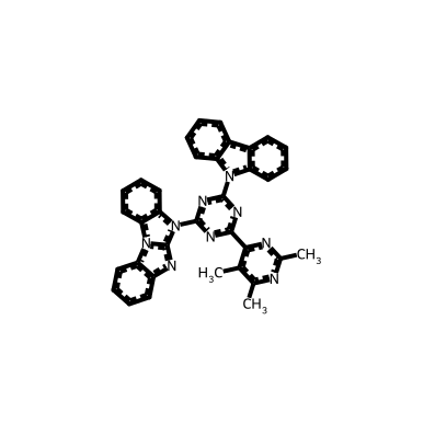 Cc1nc(C)c(C)c(-c2nc(-n3c4ccccc4c4ccccc43)nc(-n3c4ccccc4n4c5ccccc5nc34)n2)n1